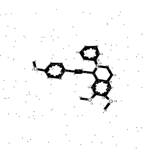 COc1ccc(C#CC2c3cc(OC)c(OC)cc3CCN2c2ccccc2)cc1